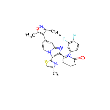 Cc1noc(C)c1-c1ccn2c(-c3nc(C#N)cs3)c([C@@H]3CCCC(=O)N3c3ccc(F)c(F)c3)nc2c1